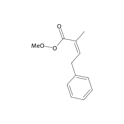 COOC(=O)C(C)=CCc1ccccc1